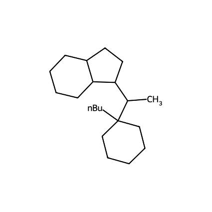 CCCCC1(C(C)C2CCC3CCCCC32)CCCCC1